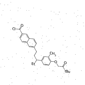 CCC(CCc1ccc2cc(C(=O)Cl)ccc2c1)c1ccc(OCC(=O)C(C)(C)C)c(C)c1